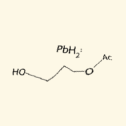 CC(=O)OCCO.[PbH2]